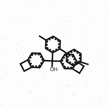 Cc1ccc(-c2ccc(C)cc2C(O)(c2ccc3c(c2)CC3)c2ccc3c(c2)CC3)cc1